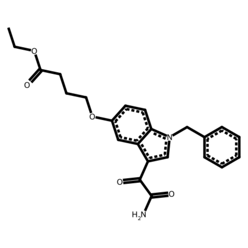 CCOC(=O)CCCOc1ccc2c(c1)c(C(=O)C(N)=O)cn2Cc1ccccc1